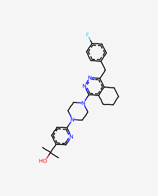 CC(C)(O)c1ccc(N2CCN(c3nnc(Cc4ccc(F)cc4)c4c3CCCC4)CC2)nc1